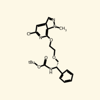 Cn1ncc2cc(Cl)nc(OCCOC[C@@H](NC(=O)OC(C)(C)C)c3ccccc3)c21